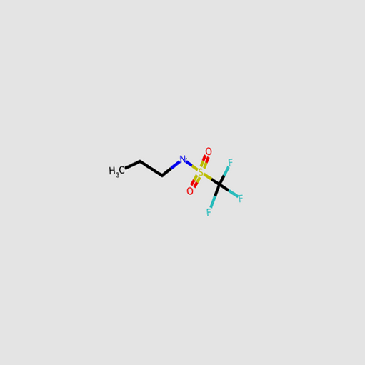 CCC[N]S(=O)(=O)C(F)(F)F